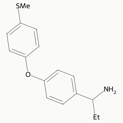 CCC(N)c1ccc(Oc2ccc(SC)cc2)cc1